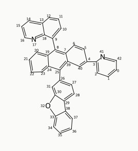 c1ccc(-c2ccc3c(-c4cccc5cccnc45)c4ccccc4c(-c4ccc5c(c4)oc4ccccc45)c3c2)nc1